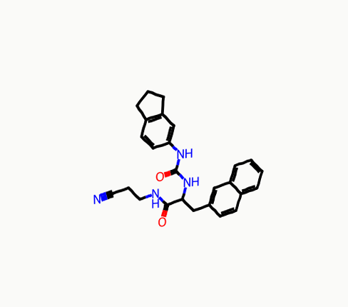 N#CCCNC(=O)C(Cc1ccc2ccccc2c1)NC(=O)Nc1ccc2c(c1)CCC2